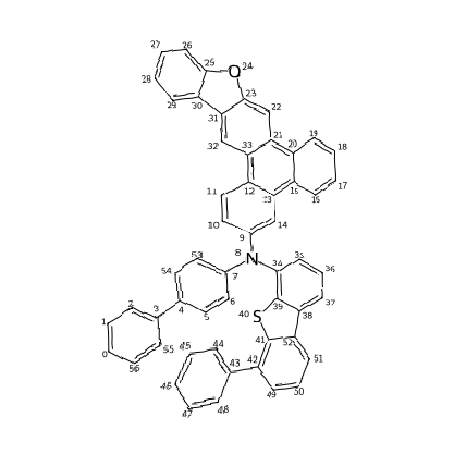 c1ccc(-c2ccc(N(c3ccc4c(c3)c3ccccc3c3cc5oc6ccccc6c5cc43)c3cccc4c3sc3c(-c5ccccc5)cccc34)cc2)cc1